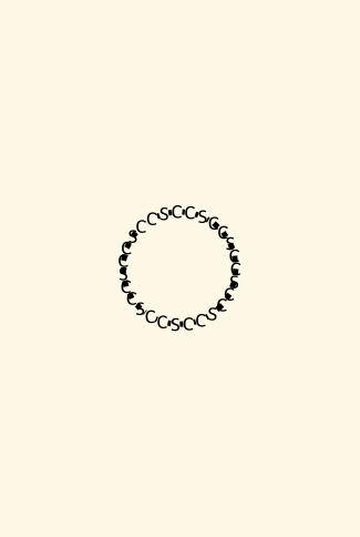 C1CSCCSCCSCCSCCSCCSCCSCCSCCS1